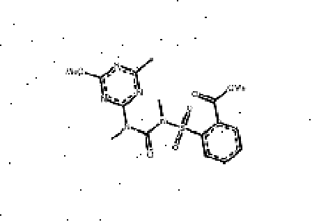 COC(=O)c1ccccc1S(=O)(=O)N(C)C(=O)N(C)c1nc(C)nc(OC)n1